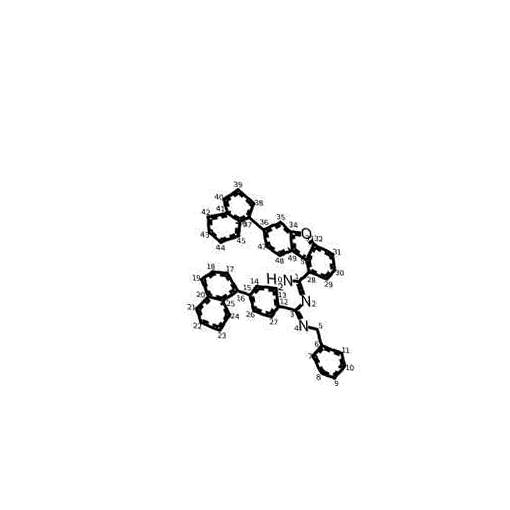 N/C(=N\C(=N/Cc1ccccc1)c1ccc(-c2cccc3ccccc23)cc1)c1cccc2oc3cc(-c4cccc5ccccc45)ccc3c12